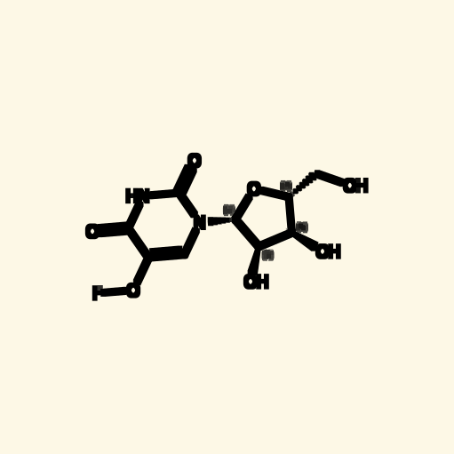 O=c1[nH]c(=O)n([C@@H]2O[C@H](CO)[C@@H](O)[C@H]2O)cc1OF